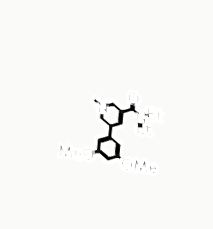 CCN(CC)C(=O)C1=CC(c2cc(OC)cc(OC)c2)CN(C)C1